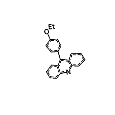 CCOc1ccc(-c2c3ccccc3nc3ccccc23)cc1